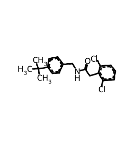 CC(C)(C)c1ccc(CNC(=O)Cc2c(Cl)cccc2Cl)cc1